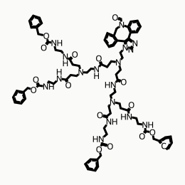 O=CN1Cc2ccccc2-c2c(nnn2CCN(CCC(=O)NCCN(CCC(=O)NCCNC(=O)OCc2ccccc2)CCC(=O)NCCNC(=O)OCc2ccccc2)CCC(=O)NCCN(CCC(=O)NCCNC(=O)OCc2ccccc2)CCC(=O)NCCNC(=O)OCc2ccccc2)-c2ccccc21